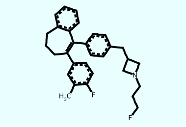 Cc1cc(C2=C(c3ccc(CC4CN(CCCF)C4)cc3)c3ccccc3CCC2)ccc1F